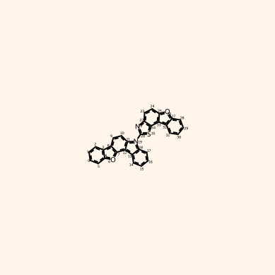 c1ccc2c(c1)oc1c2ccc2c1c1ccccc1n2-c1nc2ccc3oc4ccccc4c3c2s1